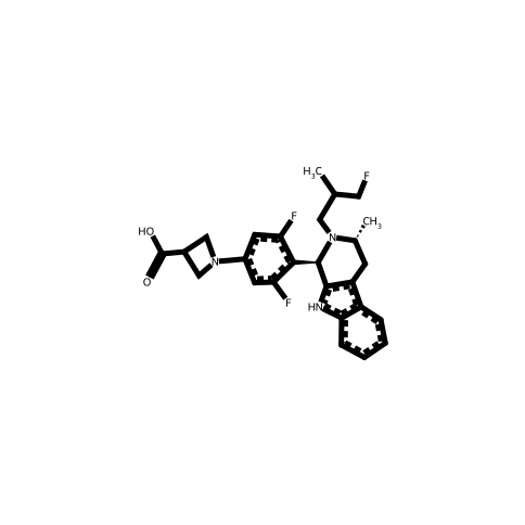 CC(CF)CN1[C@H](c2c(F)cc(N3CC(C(=O)O)C3)cc2F)c2[nH]c3ccccc3c2C[C@H]1C